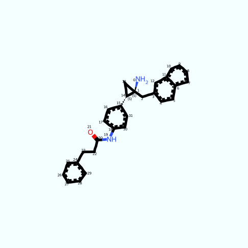 N[C@]1(Cc2ccc3ccccc3c2)C[C@H]1c1ccc(NC(=O)CCc2ccccc2)cc1